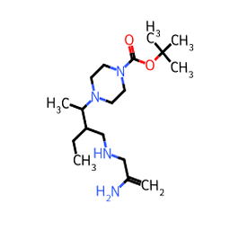 C=C(N)CNCC(CC)C(C)N1CCN(C(=O)OC(C)(C)C)CC1